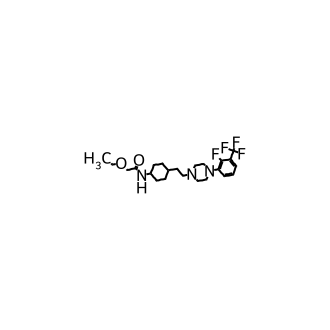 CCOCC(=O)NC1CCC(CCN2CCN(c3cccc(C(F)(F)F)c3F)CC2)CC1